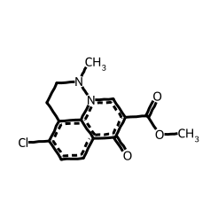 COC(=O)c1cn2c3c(c(Cl)ccc3c1=O)CCN2C